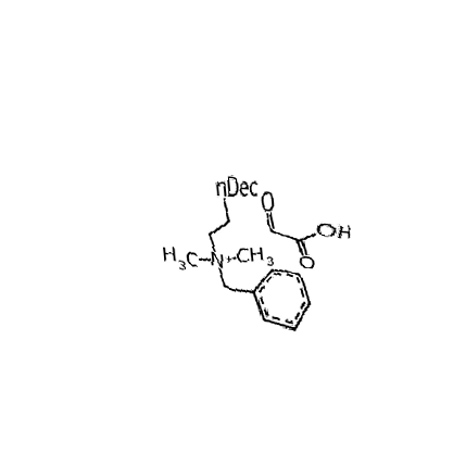 CCCCCCCCCCCC[N+](C)(C)Cc1ccccc1.O=CC(=O)O